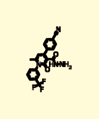 Cc1cc(-c2ccc(C#N)cc2)c(C(=O)NN)c(=O)n1-c1cccc(C(F)(F)F)c1